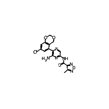 Cc1nonc1C(=O)Nc1cnc(-c2cc(Cl)cc3c2COCO3)c(N)n1